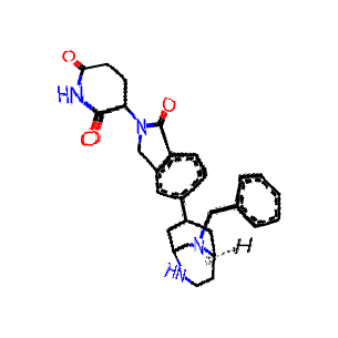 O=C1CCC(N2Cc3cc(C4CC5CN(Cc6ccccc6)[C@H](CCN5)C4)ccc3C2=O)C(=O)N1